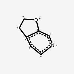 c1cc2c(cn1)OCC2